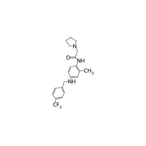 Cc1cc(NCc2ccc(C(F)(F)F)cc2)ccc1NC(=O)CN1CCCC1